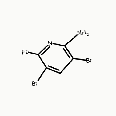 CCc1nc(N)c(Br)cc1Br